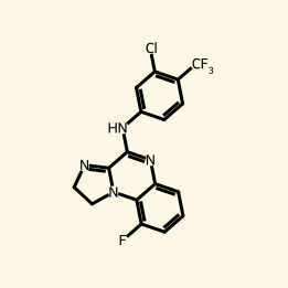 Fc1cccc2c1N1CCN=C1C(Nc1ccc(C(F)(F)F)c(Cl)c1)=N2